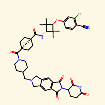 CC1(C)[C@H](NC(=O)C23CCC(C(=O)N4CCC(CN5Cc6cc7c(cc6C5)C(=O)N(C5CCC(=O)NC5=O)C7=O)CC4)(CC2)CC3)C(C)(C)[C@H]1Oc1ccc(C#N)c(Cl)c1